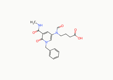 CNC(=O)c1cc(N(C=O)CCCC(=O)O)cn(Cc2ccccc2)c1=O